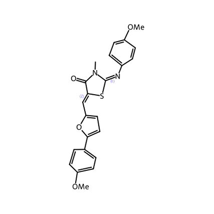 COc1ccc(/N=C2/S/C(=C\c3ccc(-c4ccc(OC)cc4)o3)C(=O)N2C)cc1